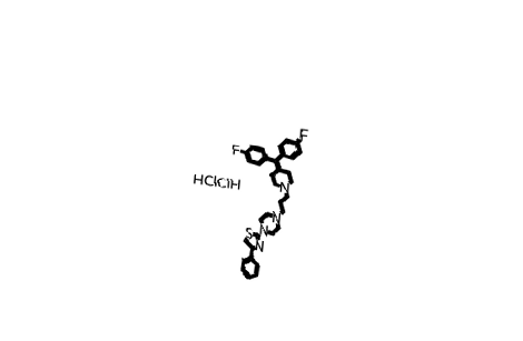 Cl.Cl.Fc1ccc(C(=C2CCN(CCCN3CCN(c4nc(-c5ccccc5)cs4)CC3)CC2)c2ccc(F)cc2)cc1